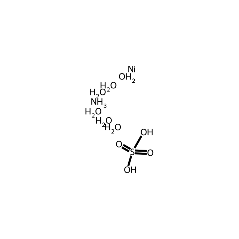 N.O.O.O.O.O.O.O=S(=O)(O)O.[Ni]